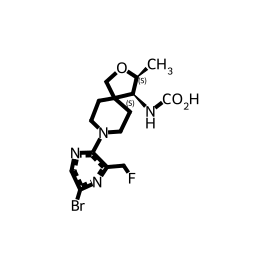 C[C@@H]1OCC2(CCN(c3ncc(Br)nc3CF)CC2)[C@@H]1NC(=O)O